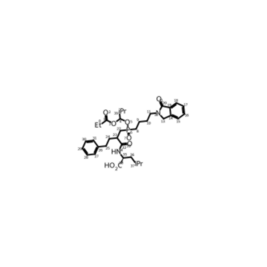 CCC(=O)OC(OP(=O)(CCCCN1Cc2ccccc2C1=O)CC(CCc1ccccc1)C(=O)N[C@@H](CC(C)C)C(=O)O)C(C)C